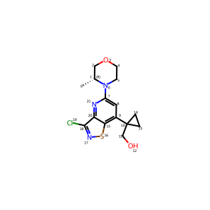 C[C@@H]1COCCN1c1cc(C2(CO)CC2)c2snc(Cl)c2n1